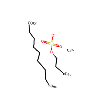 CCCCCCCCCCCCCCCCCC(=O)[O-].CCCCCCCCCCCCOS(=O)(=O)[O-].[Ca+2]